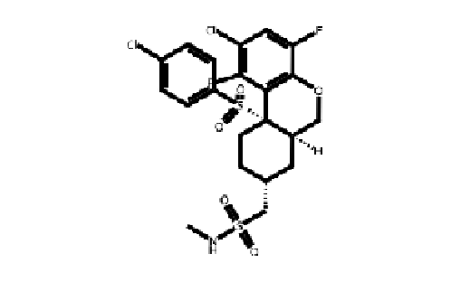 CNS(=O)(=O)C[C@@H]1CC[C@@]2(S(=O)(=O)c3ccc(Cl)cc3)c3c(F)c(Cl)cc(F)c3OC[C@H]2C1